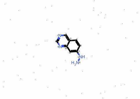 NNc1ccc2cncnc2c1